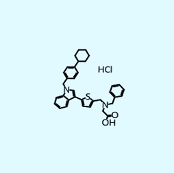 Cl.O=C(O)CN(Cc1ccccc1)Cc1ccc(-c2cn(Cc3ccc(C4CCCCC4)cc3)c3ccccc23)s1